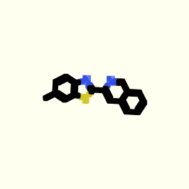 Cc1ccc2nc(-c3cc4ccccc4cn3)sc2c1